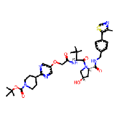 Cc1ncsc1-c1ccc(CNC(=O)[C@@H]2C[C@@H](O)CN2C(=O)[C@@H](NC(=O)COc2cnc(C3CCN(C(=O)OC(C)(C)C)CC3)nc2)C(C)(C)C)cc1